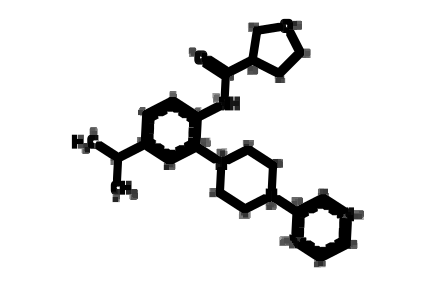 CC(C)c1ccc(NC(=O)C2CCOC2)c(N2CCN(c3cnccn3)CC2)c1